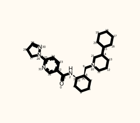 O=C(N[C@H]1CCCC[C@@H]1CN1CCCC(C2CCCCC2)C1)c1ccc(N2CCC=N2)nc1